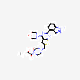 C[C@@H](O)C(=O)N1CCN(Cc2cc3c(N4CCOCC4)nc(-c4cccc5[nH]ncc45)nc3s2)CC1